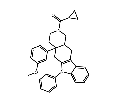 COc1cccc(C23CCN(C(=O)C4CC4)CC2Cc2c(n(-c4ccccc4)c4ccccc24)C3)c1